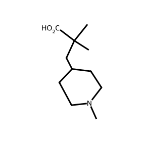 CN1CCC(CC(C)(C)C(=O)O)CC1